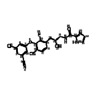 N#Cc1cc(Cl)cc(Oc2c(Cl)ccc(CC(O)CNC(=O)c3ncc[nH]3)c2F)c1